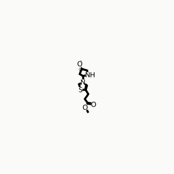 COC(=O)CCC1=CN(C2C[C@H](OC)CN2)CS1